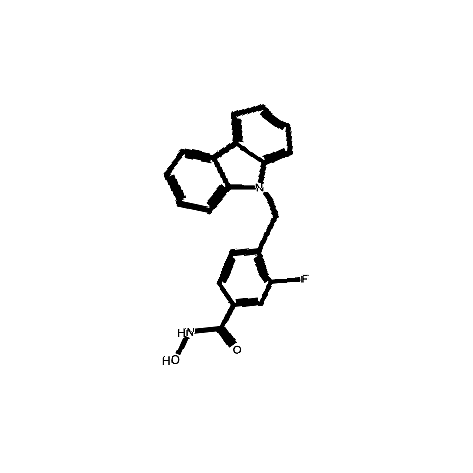 O=C(NO)c1ccc(Cn2c3ccccc3c3ccccc32)c(F)c1